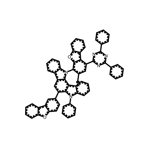 N#Cc1cc(-c2nc(-c3ccccc3)nc(-c3ccccc3)n2)c2c(oc3ccccc32)c1-n1c2ccccc2c2cc(-c3ccc4oc5ccccc5c4c3)c3c(c4ccccc4n3-c3ccccc3)c21